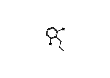 CC[CH]c1c(Br)cccc1Br